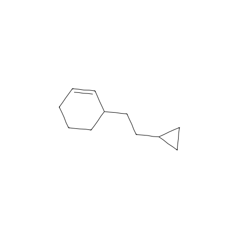 C1=CC(CCC2CC2)CCC1